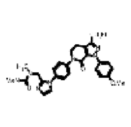 CCOC(=O)c1nn(-c2ccc(OC)cc2)c2c1CCN(c1ccc(-n3ccnc3CN(C)C(=O)NC)cc1)C2=O